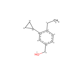 CCc1ccc(CO)cc1C1CC1